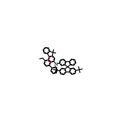 CCc1ccc(-c2ccccc2N(c2ccc3c(c2)C(C)(C)c2ccccc2-3)c2ccc3c(c2)C2(c4ccccc4-3)c3cc(C(C)(C)C)ccc3-c3ccc(C(C)(C)C)cc32)cc1